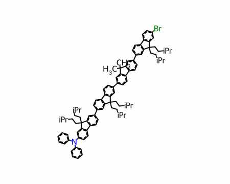 CC(C)CCC1(CCC(C)C)c2cc(Br)ccc2-c2ccc(-c3ccc4c(c3)C(C)(C)c3cc(-c5ccc6c(c5)C(CCC(C)C)(CCC(C)C)c5cc(-c7ccc8c(c7)C(CCC(C)C)(CCC(C)C)c7cc(N(c9ccccc9)c9ccccc9)ccc7-8)ccc5-6)ccc3-4)cc21